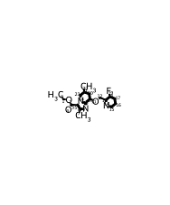 CCOC(=O)c1c(C)nc2c(OCc3ncccc3F)cc(C)cn12